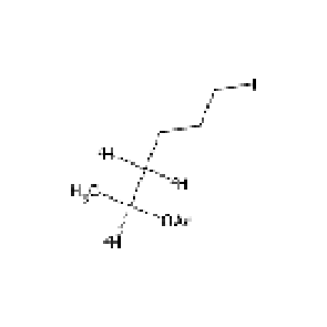 [2H]C([2H])(CCCI)[C@]([2H])(C)OC(C)=O